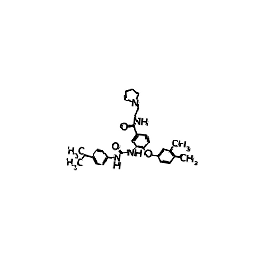 Cc1ccc(Oc2ccc(C(=O)NCCN3CCCC3)cc2NC(=O)Nc2ccc(C(C)C)cc2)cc1C